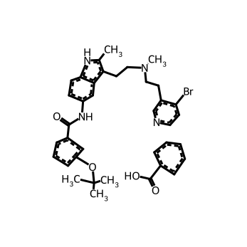 Cc1[nH]c2ccc(NC(=O)c3cccc(OC(C)(C)C)c3)cc2c1CCN(C)CCc1cnccc1Br.O=C(O)c1ccccc1